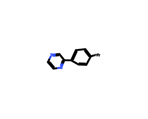 [CH2]CCc1ccc(-c2cnccn2)cc1